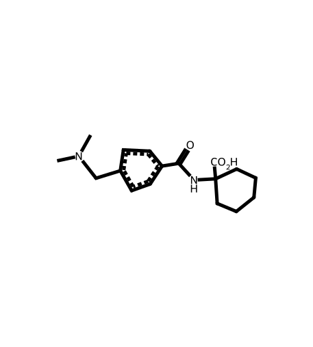 CN(C)Cc1ccc(C(=O)NC2(C(=O)O)CCCCC2)cc1